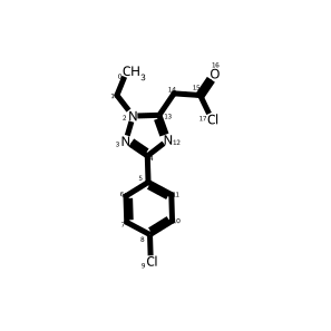 CCn1nc(-c2ccc(Cl)cc2)nc1CC(=O)Cl